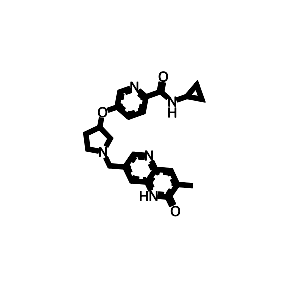 Cc1cc2ncc(CN3CCC(Oc4ccc(C(=O)NC5CC5)nc4)C3)cc2[nH]c1=O